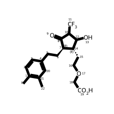 Cc1ccc(CC[C@H]2C(=O)C(C(F)(F)F)C(O)[C@@H]2CCOCC(=O)O)cc1C